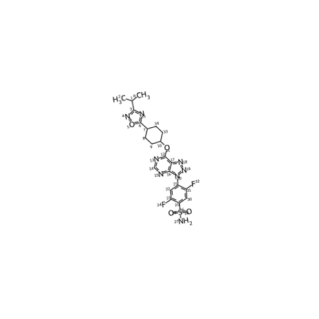 CC(C)c1noc(C2CCC(Oc3ncnc4c3nnn4-c3cc(F)c(S(N)(=O)=O)cc3F)CC2)n1